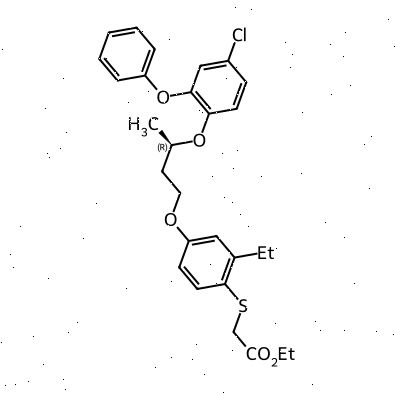 CCOC(=O)CSc1ccc(OCC[C@@H](C)Oc2ccc(Cl)cc2Oc2ccccc2)cc1CC